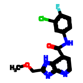 COCc1nc2nccc(C(=O)Nc3ccc(F)c(Cl)c3)c2[nH]1